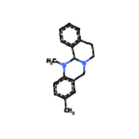 Cc1ccc2c(c1)CN1CCc3ccccc3C1N2C